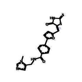 Cn1cncc1CNC(=O)c1ccc(-c2ccc(/C=C3/SC(=S)NC3=O)o2)cc1